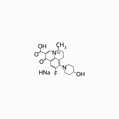 C[C@H]1CCc2c(N3CCC(O)CC3)c(F)cc3c(=O)c(C(=O)O)cn1c23.[NaH]